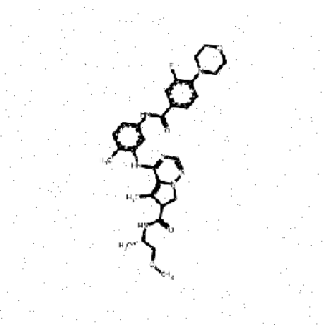 COC[C@H](C)NC(=O)C1CN2N=CN=C(Nc3cc(NC(=O)c4ccc(N5CCOCC5)c(F)c4)ccc3C)C2=C1C